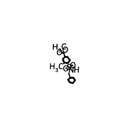 COC(=O)c1ccc(S(=O)(=O)NCc2ccccc2)c(C)c1